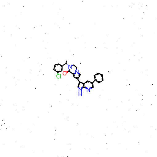 CC(c1cccc(Cl)c1)N1CCn2cc(-c3c[nH]c4ncc(-c5ccccc5)cc34)cc2C1=O